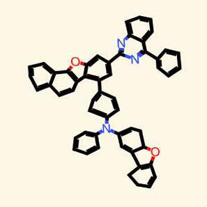 C1=CC2=C(CC1)C1=CC(N(c3ccccc3)c3ccc(-c4cc(-c5nc(-c6ccccc6)c6ccccc6n5)cc5oc6c7ccccc7ccc6c45)cc3)=CCC1O2